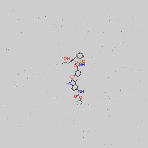 COc1cc(C(=O)NS(=O)(=O)c2ccccc2C#CCC(C)O)ccc1Cc1cn(C)c2ccc(NC(=O)OC3CCCC3)cc12